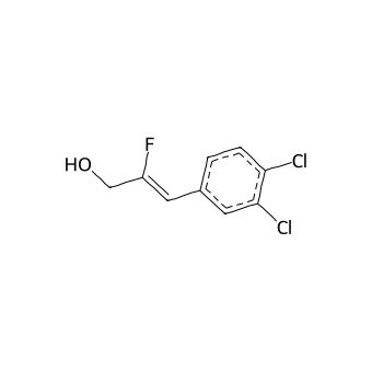 OCC(F)=Cc1ccc(Cl)c(Cl)c1